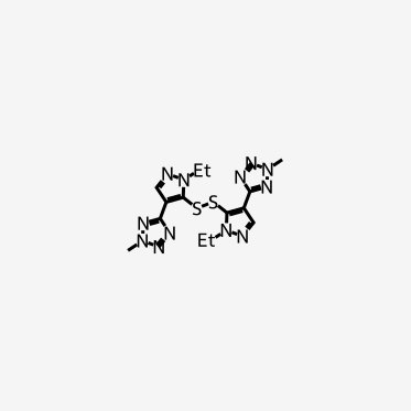 CCn1ncc(-c2nnn(C)n2)c1SSc1c(-c2nnn(C)n2)cnn1CC